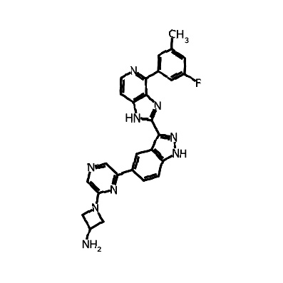 Cc1cc(F)cc(-c2nccc3[nH]c(-c4n[nH]c5ccc(-c6cncc(N7CC(N)C7)n6)cc45)nc23)c1